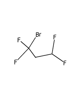 FC(F)CC(F)(F)Br